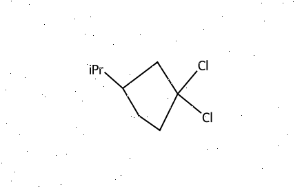 CC(C)C1CCC(Cl)(Cl)C1